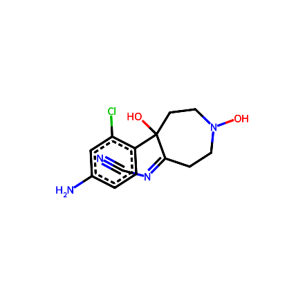 N#CN=C1CCN(O)CCC1(O)c1ccc(N)cc1Cl